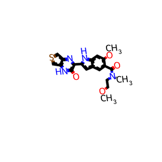 COCCN(C)C(=O)c1cc2cc(-c3nc4cscc4[nH]c3=O)[nH]c2cc1OC